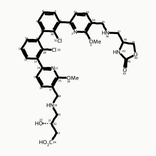 COc1nc(-c2cccc(-c3cccc(-c4ccc(CNC[C@@H](O)CC(=O)O)c(OC)n4)c3Cl)c2Cl)ccc1CNCC1COC(=O)N1